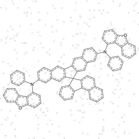 c1ccc(N(c2ccc3cc4c(cc3c2)C2(c3cc5cc(N(c6ccccc6)c6cccc7oc8ccccc8c67)ccc5cc3-4)c3ccccc3-c3c2ccc2ccccc32)c2cccc3oc4ccccc4c23)cc1